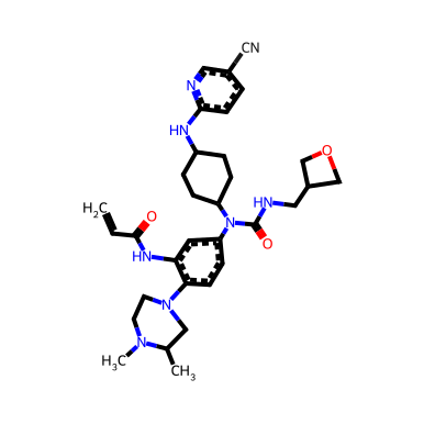 C=CC(=O)Nc1cc(N(C(=O)NCC2COC2)C2CCC(Nc3ccc(C#N)cn3)CC2)ccc1N1CCN(C)C(C)C1